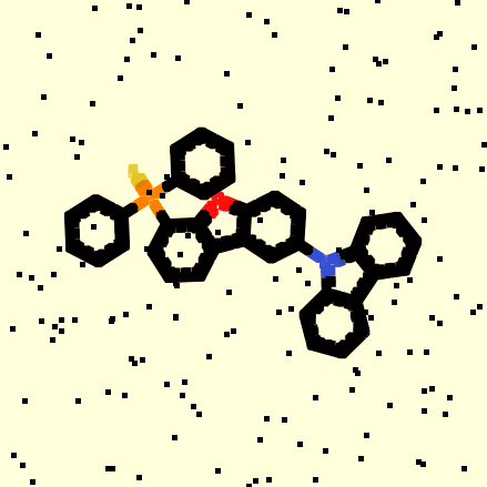 S=P(c1ccccc1)(c1ccccc1)c1cccc2c1oc1ccc(-n3c4ccccc4c4ccccc43)cc12